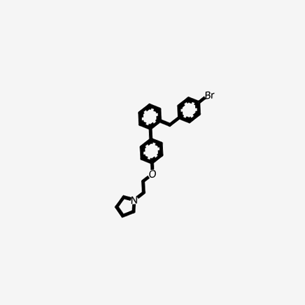 Brc1ccc(Cc2ccccc2-c2ccc(OCCN3CCCC3)cc2)cc1